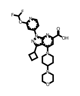 O=C(O)c1cc(N2CCC(N3CCOCC3)CC2)c2c(C3CCC3)nn(-c3ccnc(OC(F)F)c3)c2n1